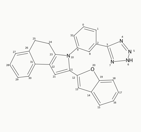 c1cc(-c2nn[nH]n2)cc(-n2c(-c3cc4ccccc4o3)cc3c2CCc2ccccc2-3)c1